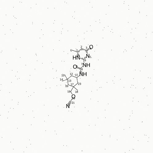 Cc1cc(=O)nc(NC(=O)NC2CC(C)(C)CC(C)(COC#N)C2)[nH]1